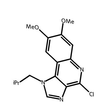 COc1cc2nc(Cl)c3ncn(CC(C)C)c3c2cc1OC